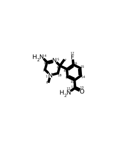 CN1CC(N)=NC(C)(c2cc(C(N)=O)ccc2F)C1